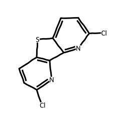 Clc1ccc2sc3ccc(Cl)nc3c2n1